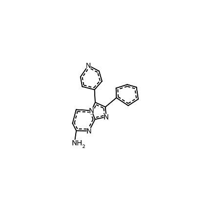 Nc1ccn2c(-c3ccncc3)c(-c3ccccc3)nc2n1